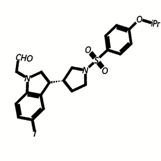 CC(C)Oc1ccc(S(=O)(=O)N2CC[C@H](C3CN(CC=O)c4ccc(I)cc43)C2)cc1